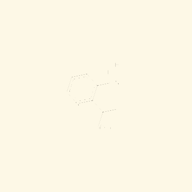 CCCCCC(CC)c1ncccc1C#N.Cl.Cl